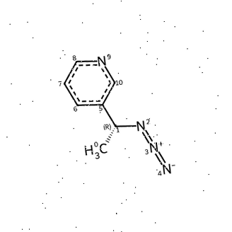 C[C@@H](N=[N+]=[N-])c1cccnc1